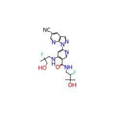 CC(F)(CO)CNc1cc(-n2ncc3cc(C#N)cnc32)ncc1C(=O)NC[C@@H](F)C(C)(C)O